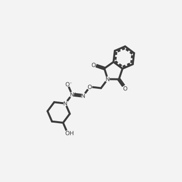 O=C1c2ccccc2C(=O)N1CO/N=[N+](\[O-])N1CCCC(O)C1